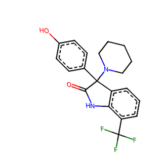 O=C1Nc2c(C(F)(F)F)cccc2C1(c1ccc(O)cc1)N1CCCCC1